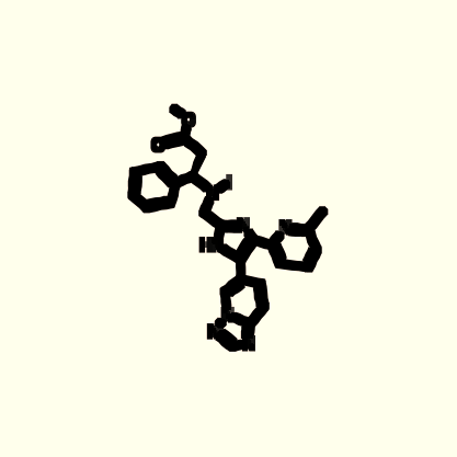 COC(=O)C[C@H](c1ccccc1)N(I)Cc1nc(-c2cccc(C)n2)c(-c2ccc3ncnn3c2)[nH]1